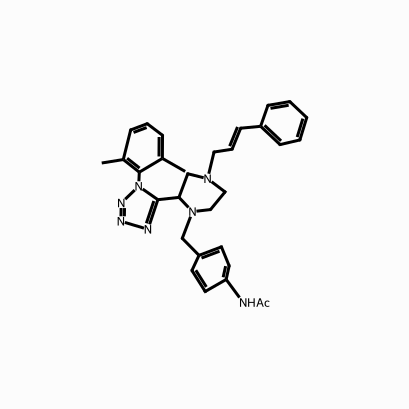 CC(=O)Nc1ccc(CN2CCN(CC=Cc3ccccc3)CC2c2nnnn2-c2c(C)cccc2C)cc1